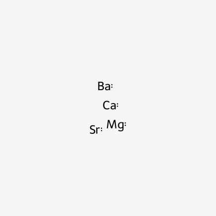 [Ba].[Ca].[Mg].[Sr]